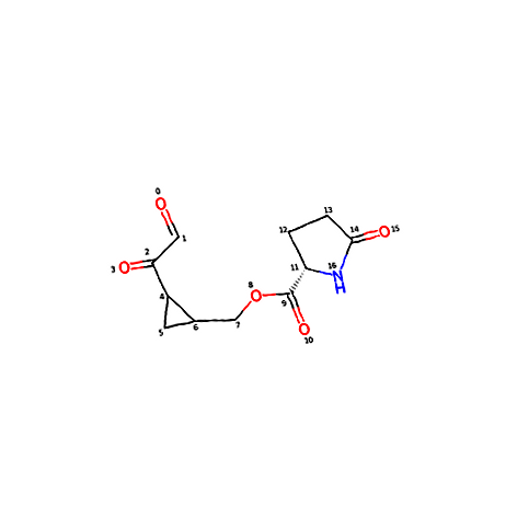 O=CC(=O)C1CC1COC(=O)[C@@H]1CCC(=O)N1